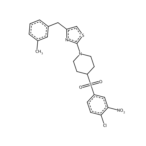 Cc1cccc(Cc2csc(N3CCC(S(=O)(=O)c4ccc(Cl)c([N+](=O)[O-])c4)CC3)n2)c1